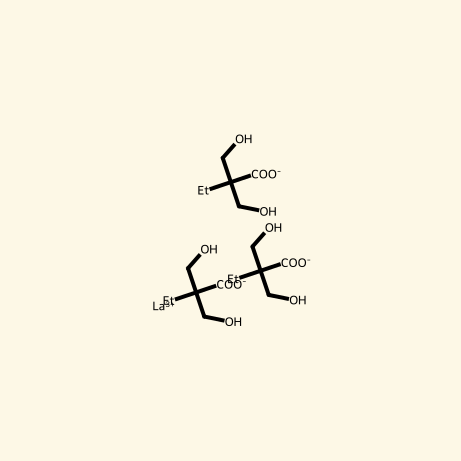 CCC(CO)(CO)C(=O)[O-].CCC(CO)(CO)C(=O)[O-].CCC(CO)(CO)C(=O)[O-].[La+3]